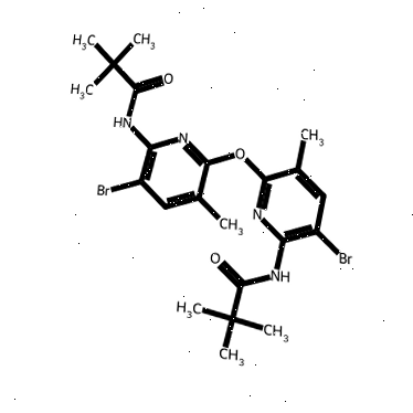 Cc1cc(Br)c(NC(=O)C(C)(C)C)nc1Oc1nc(NC(=O)C(C)(C)C)c(Br)cc1C